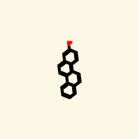 Oc1ccc2c(ccc3c4ccccc4ccc23)c1